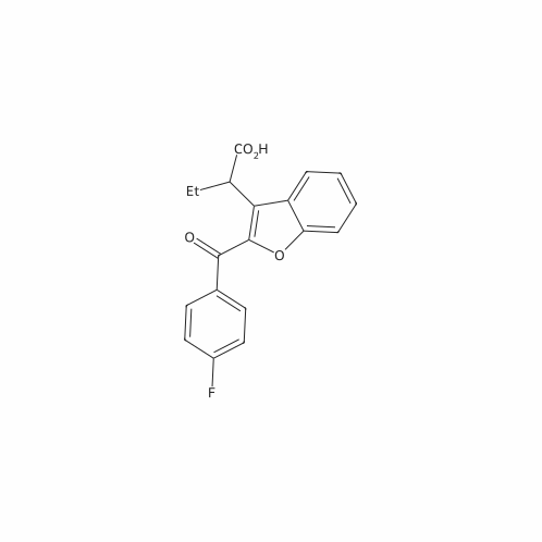 CCC(C(=O)O)c1c(C(=O)c2ccc(F)cc2)oc2ccccc12